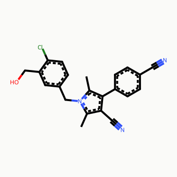 Cc1c(C#N)c(-c2ccc(C#N)cc2)c(C)n1Cc1ccc(Cl)c(CO)c1